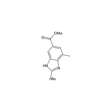 CCCCc1nc2c(C)cc(C(=O)OC)cc2[nH]1